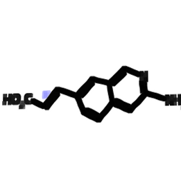 Nc1cc2ccc(/C=C/C(=O)O)cc2cn1